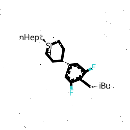 CCCCCCC[Si@H]1CC[C@H](c2cc(F)c(C[C@@H](C)CC)c(F)c2)CC1